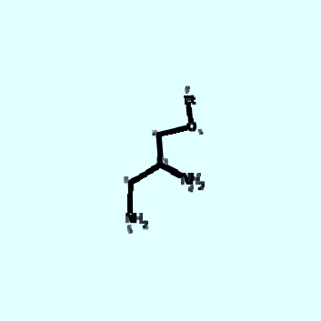 CCOCC(N)CN